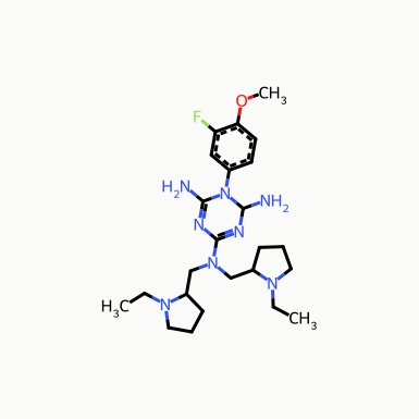 CCN1CCCC1CN(CC1CCCN1CC)C1=NC(N)N(c2ccc(OC)c(F)c2)C(N)=N1